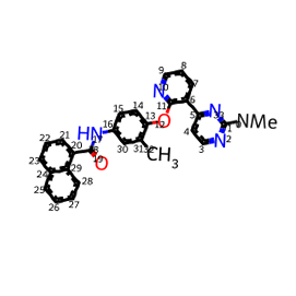 CNc1nccc(-c2cccnc2Oc2ccc(NC(=O)c3cccc4ccccc34)cc2C)n1